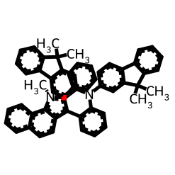 Cn1c(-c2ccccc2)c(-c2ccccc2N(c2ccc3c(c2)C(C)(C)c2ccccc2-3)c2ccc3c(c2)C(C)(C)c2ccccc2-3)c2ccc3ccccc3c21